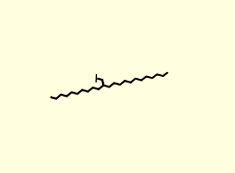 CCCCCCCCCCCCC(CI)CCCCCCCCCC